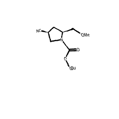 COC[C@@H]1C[C@H](C#N)CN1C(=O)OC(C)(C)C